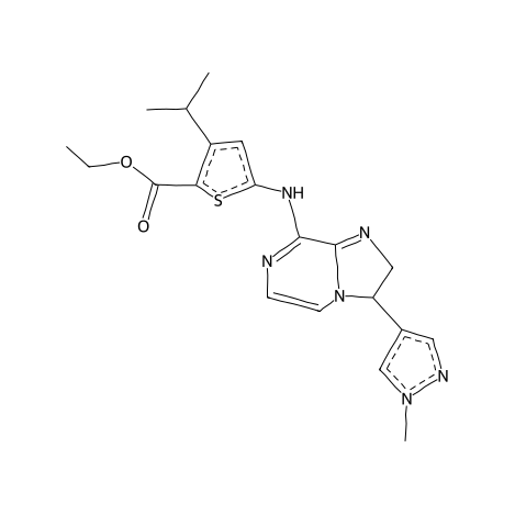 CCOC(=O)c1sc(NC2=NC=CN3C2=NCC3c2cnn(C)c2)cc1C(C)C